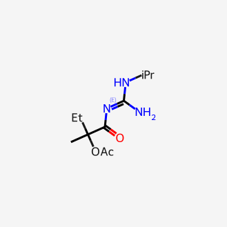 CCC(C)(OC(C)=O)C(=O)/N=C(\N)NC(C)C